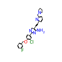 Nc1nc(-c2ccc(OCc3cccc(F)c3)c(Cl)c2)ncc1C#Cc1cccc(CN2CCCC2)n1